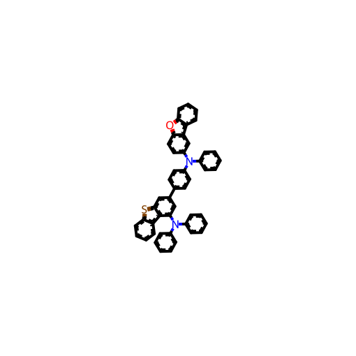 c1ccc(N(c2ccc(-c3cc(N(c4ccccc4)c4ccccc4)c4c(c3)sc3ccccc34)cc2)c2ccc3oc4ccccc4c3c2)cc1